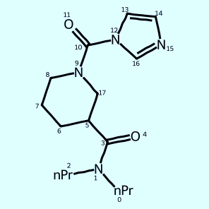 CCCN(CCC)C(=O)C1CCCN(C(=O)n2ccnc2)C1